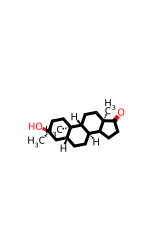 C[C@]1(O)CC[C@]2(C)[C@H](CC[C@@H]3C4CCC(=O)[C@]4(C)CC[C@H]32)C1